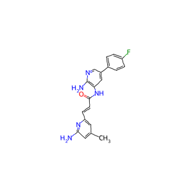 Cc1cc(N)nc(C=CC(=O)Nc2cc(-c3ccc(F)cc3)cnc2N)c1